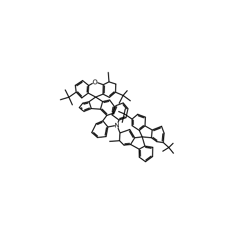 CC1CC(C(C)(C)C)=CC2=C1Oc1ccc(C(C)(C)C)cc1C21c2ccccc2-c2c(-c3ccccc3N(c3ccccc3)C3C=C4C(=CC3C)c3ccccc3C43c4cc(C(C)(C)C)ccc4-c4ccc(C(C)(C)C)cc43)cccc21